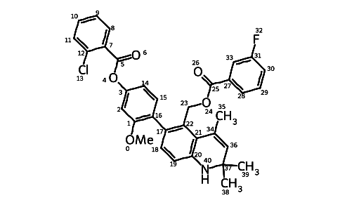 COc1cc(OC(=O)c2ccccc2Cl)ccc1-c1ccc2c(c1COC(=O)c1cccc(F)c1)C(C)=CC(C)(C)N2